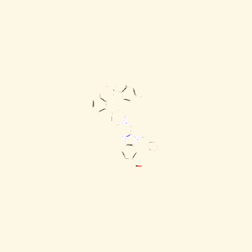 C[C@]1(c2ccc(Cl)cc2F)COc2cccc(C3CCN(Cc4nc5ccc(C(=O)O)cc5n4C[C@@H]4CCO4)CC3)c2O1